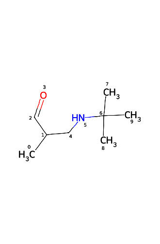 CC(C=O)CNC(C)(C)C